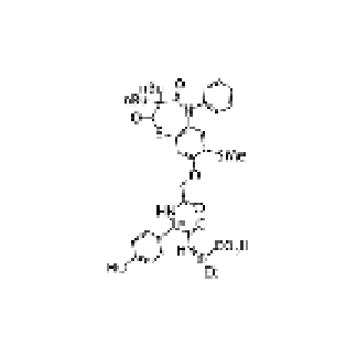 CCCCC1(CCCC)C(=O)Sc2cc(OCC(=O)N[C@@H](C(=O)N[C@@H](CC)C(=O)O)c3ccc(O)cc3)c(SC)cc2N(c2ccccc2)C1=O